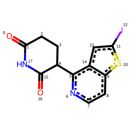 O=C1CCC(c2nccc3sc(I)cc23)C(=O)N1